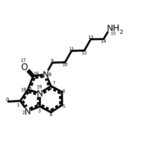 Cc1nc2cccc3n(CCCCCCN)c(=O)c1n23